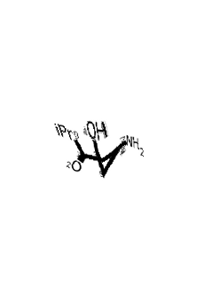 CC(C)C(=O)C1(O)CC1N